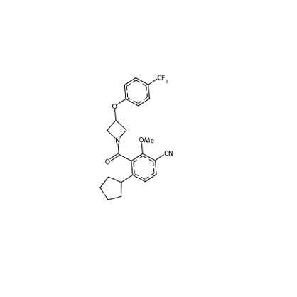 COc1c(C#N)ccc(C2CCCC2)c1C(=O)N1CC(Oc2ccc(C(F)(F)F)cc2)C1